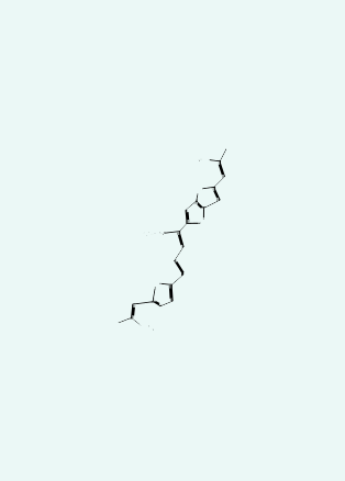 CN/C(=C\C=C\c1ccc(/C=C(/C)C#N)o1)c1cc2sc(/C=C(/C)C#N)cc2o1